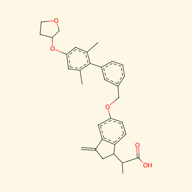 C=C1CC(C(C)C(=O)O)c2ccc(OCc3cccc(-c4c(C)cc(OC5CCOC5)cc4C)c3)cc21